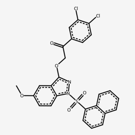 COc1ccc2c(c1)c(OCC(=O)c1ccc(Cl)c(Cl)c1)nn2S(=O)(=O)c1cccc2ccccc12